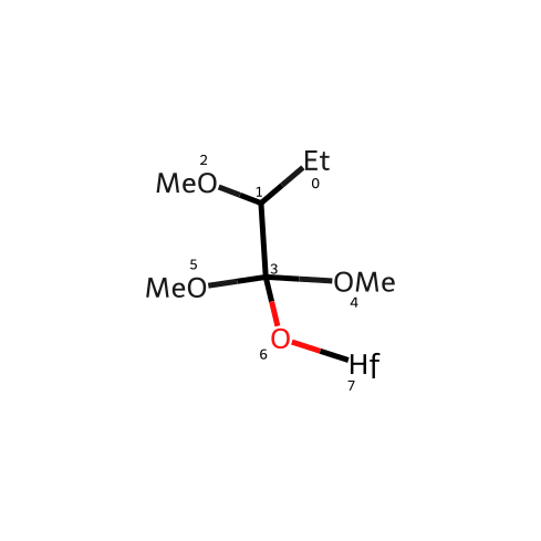 CCC(OC)C(OC)(OC)[O][Hf]